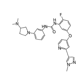 CN(C)C1CCN(c2cccc(NC(=O)Nc3cc(Oc4ccnc(-c5cnn(C)c5)c4)ccc3F)c2)C1